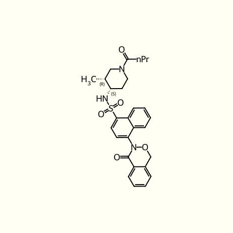 CCCC(=O)N1CC[C@H](NS(=O)(=O)c2ccc(N3OCc4ccccc4C3=O)c3ccccc23)[C@H](C)C1